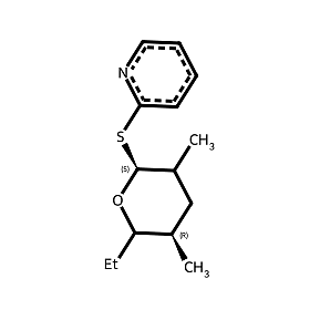 CCC1O[C@@H](Sc2ccccn2)C(C)C[C@H]1C